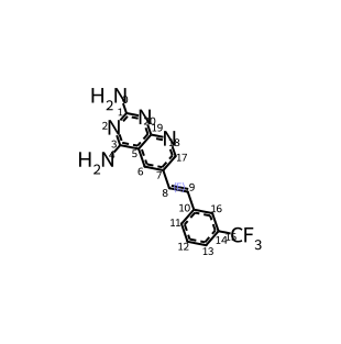 Nc1nc(N)c2cc(/C=C/c3cccc(C(F)(F)F)c3)cnc2n1